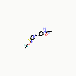 C/C=C/C(=O)N[C@H]1CC[C@H](CCN2CCc3sc(OCC(C)(F)F)nc3C2)CC1